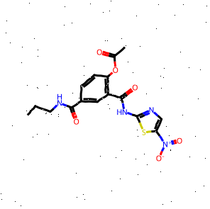 CCCNC(=O)c1ccc(OC(C)=O)c(C(=O)Nc2ncc([N+](=O)[O-])s2)c1